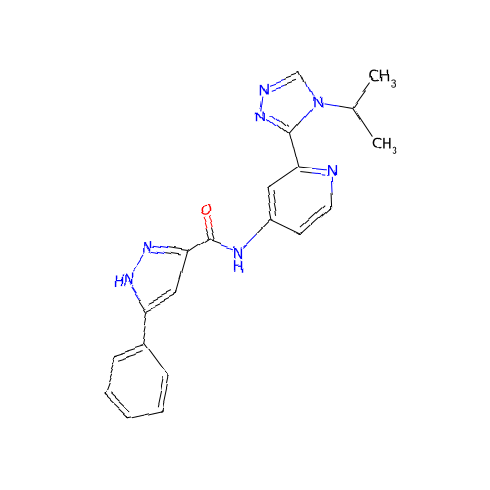 CC(C)n1cnnc1-c1cc(NC(=O)c2cc(-c3ccccc3)[nH]n2)ccn1